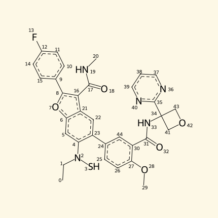 CCN(S)c1cc2oc(-c3ccc(F)cc3)c(C(=O)NC)c2cc1-c1ccc(OC)c(C(=O)NC2(c3ncccn3)COC2)c1